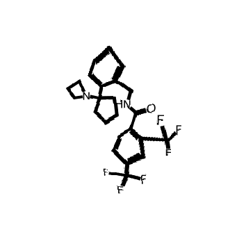 O=C(NCc1ccccc1C1(N2CCC2)CCCC1)c1ccc(C(F)(F)F)cc1C(F)(F)F